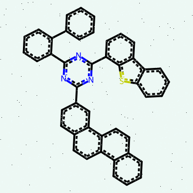 c1ccc(-c2ccccc2-c2nc(-c3ccc4ccc5c6ccccc6ccc5c4c3)nc(-c3cccc4c3sc3ccccc34)n2)cc1